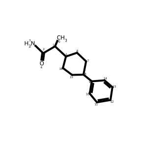 CC(C(N)=O)C1CCC(c2ccccc2)CC1